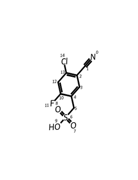 N#Cc1cc(CS(=O)(=O)O)c(F)cc1Cl